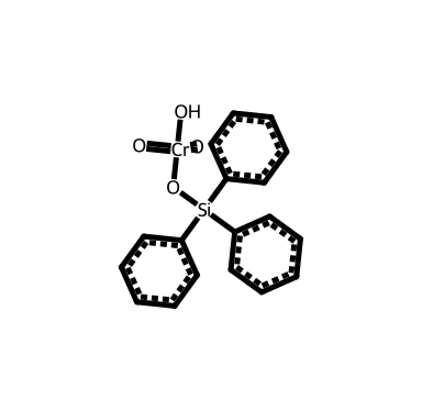 [O]=[Cr](=[O])([OH])[O][Si](c1ccccc1)(c1ccccc1)c1ccccc1